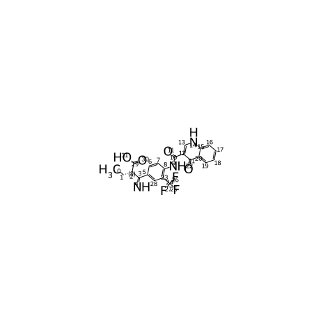 CC[C@@H](C(=N)c1ccc(NC(=O)c2c[nH]c3ccccc3c2=O)c(C(F)(F)F)c1)C(=O)O